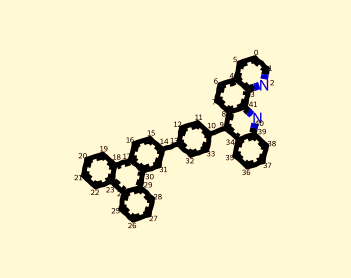 c1cnc2c(c1)ccc1c(-c3ccc(-c4ccc5c6ccccc6c6ccccc6c5c4)cc3)c3ccccc3nc12